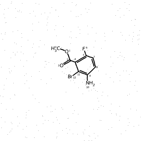 COC(=O)c1c(F)ccc(N)c1Br